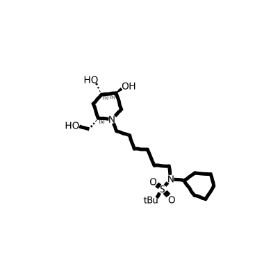 CC(C)(C)S(=O)(=O)N(CCCCCCN1C[C@H](O)[C@@H](O)C[C@H]1CO)C1CCCCC1